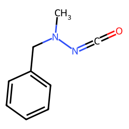 CN(Cc1ccccc1)N=C=O